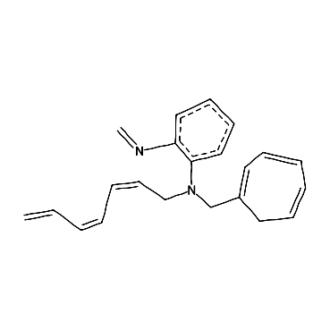 C=C/C=C\C=C/CN(CC1=CC=CC=CC1)c1ccccc1N=C